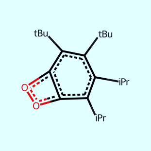 CC(C)c1c(C(C)(C)C)c(C(C)(C)C)c2ooc2c1C(C)C